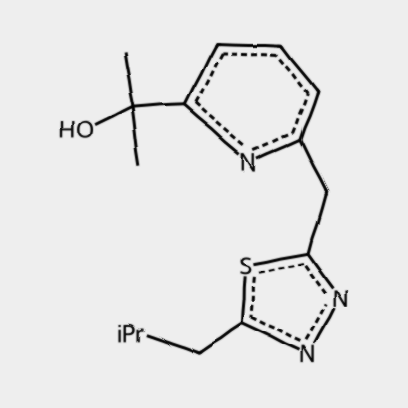 CC(C)Cc1nnc(Cc2cccc(C(C)(C)O)n2)s1